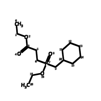 CCOC(=O)CCP(=O)(CC1CCCCC1)OCC